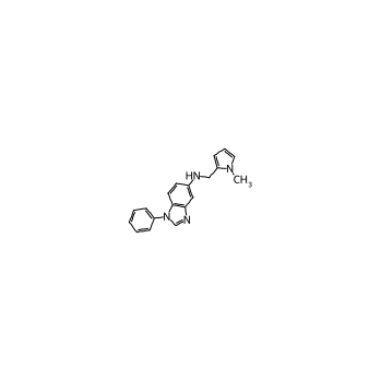 Cn1cccc1CNc1ccc2c(c1)ncn2-c1ccccc1